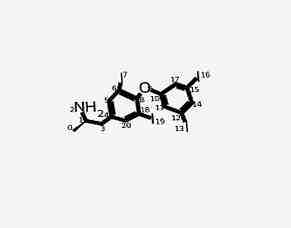 C[C@@H](N)Cc1cc(I)c(Oc2cc(I)cc(I)c2)c(I)c1